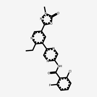 CCc1ncc(-c2nn(C)c(=O)o2)cc1-c1cnc(NC(=O)c2c(F)cccc2Cl)cn1